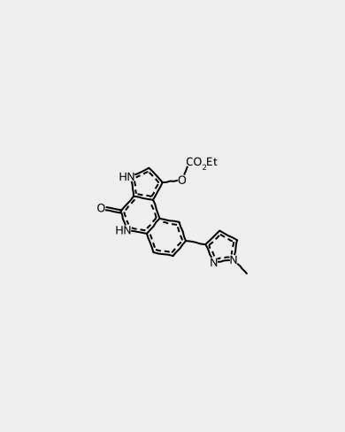 CCOC(=O)Oc1c[nH]c2c(=O)[nH]c3ccc(-c4ccn(C)n4)cc3c12